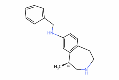 C[C@@H]1CNCCc2ccc(NCc3ccccc3)cc21